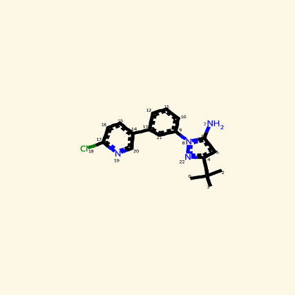 CC(C)(C)c1cc(N)n(-c2cccc(-c3ccc(Cl)nc3)c2)n1